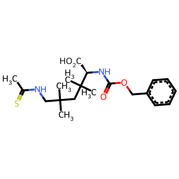 CC(=S)NCC(C)(C)CC(C)(C)[C@H](NC(=O)OCc1ccccc1)C(=O)O